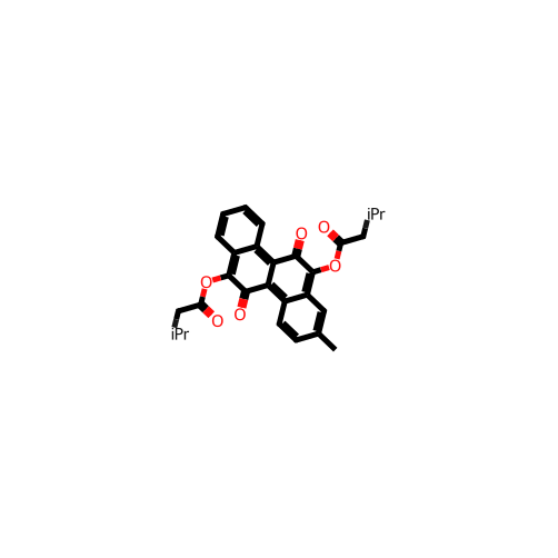 Cc1ccc2c(c1)=C(OC(=O)CC(C)C)C(=O)C1=c3ccccc3=C(OC(=O)CC(C)C)C(=O)C=21